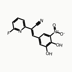 N#CC(=Cc1cc(O)c(O)c([N+](=O)[O-])c1)c1cccc(F)n1